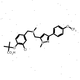 CN(Cc1ccc(OC(C)(C)C(=O)O)c(Cl)c1)Cc1cc(-c2ccc(OC(F)(F)F)cc2)nn1C